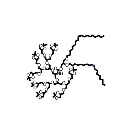 CCCCCCCC/C=C\CCCCCCCCOCC(COC(=O)NC(COC(COC(COCC1COC(C)(C)O1)COCC1COC(C)(C)O1)COC(COCC1COC(C)(C)O1)COCC1COC(C)(C)O1)COC(COC(COCC1COC(C)(C)O1)COCC1COC(C)(C)O1)COC(COCC1COC(C)(C)O1)COCC1COC(C)(C)O1)OCCCCCCCC/C=C\CCCCCCCC